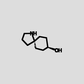 O[C@H]1CC[C@@]2(CCCN2)CC1